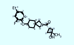 CCc1cnc(OC2CCC3(CC2)CN(C(=O)[C@H]2C[C@@](C)(O)C2)C3)c(F)c1